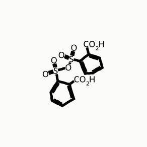 O=C(O)c1ccccc1S(=O)(=O)OS(=O)(=O)c1ccccc1C(=O)O